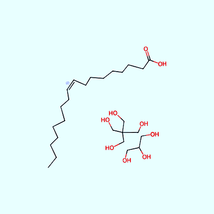 CCCCCCCC/C=C\CCCCCCCC(=O)O.OCC(CO)(CO)CO.OCC(O)CO